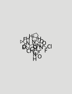 CCC(C)(C)C(NC(=O)C1(F)CC1)C(=O)N1C[C@@H]2CCC[C@@H]2[C@H]1C(=O)NN(C[C@@H]1CCNC1=O)C(=O)C(F)Cl